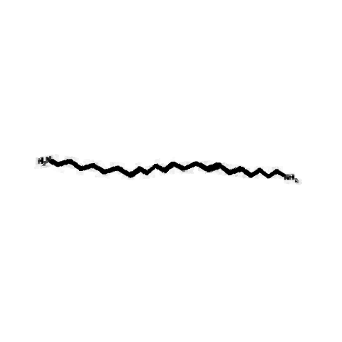 NCCCCCCC=CCCC=CCCC=CCCCCCCN